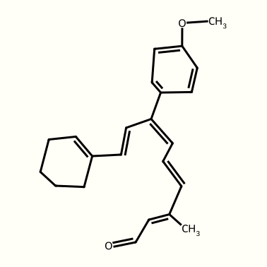 COc1ccc(C(C=CC2=CCCCC2)=CC=CC(C)=CC=O)cc1